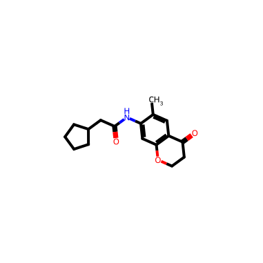 Cc1cc2c(cc1NC(=O)CC1CCCC1)OCCC2=O